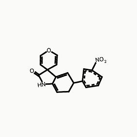 O=C1NC2=CCC(c3cccc([N+](=O)[O-])c3)C=C2C12C=COC=C2